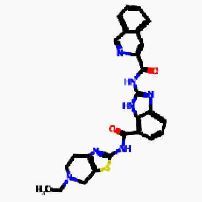 CCN1CCc2nc(NC(=O)c3cccc4nc(NC(=O)c5cc6ccccc6cn5)[nH]c34)sc2C1